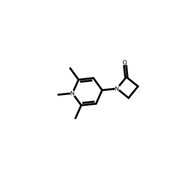 CC1=CC(N2CCC2=O)C=C(C)N1C